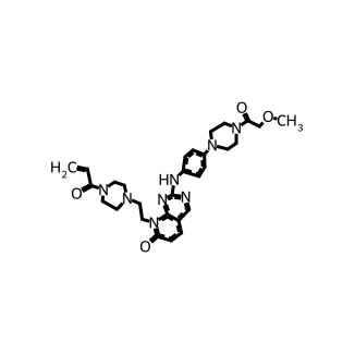 C=CC(=O)N1CCN(CCn2c(=O)ccc3cnc(Nc4ccc(N5CCN(C(=O)COC)CC5)cc4)nc32)CC1